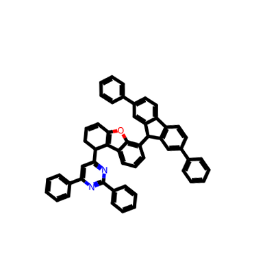 C1=Cc2oc3c(C4c5cc(-c6ccccc6)ccc5-c5ccc(-c6ccccc6)cc54)cccc3c2C(c2cc(-c3ccccc3)nc(-c3ccccc3)n2)C1